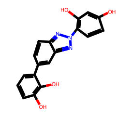 Oc1ccc(-n2nc3ccc(-c4cccc(O)c4O)cc3n2)c(O)c1